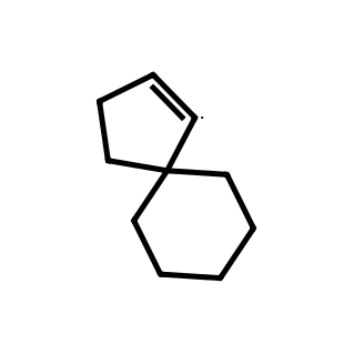 [C]1=CCCC12CCCCC2